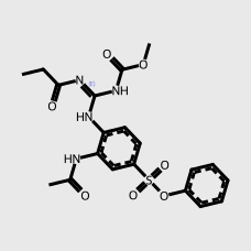 CCC(=O)/N=C(/NC(=O)OC)Nc1ccc(S(=O)(=O)Oc2ccccc2)cc1NC(C)=O